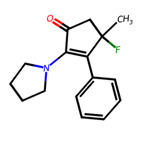 CC1(F)CC(=O)C(N2CCCC2)=C1c1ccccc1